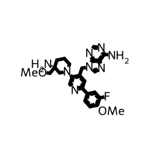 COC[C@@]1(N)CCCN(c2cnc(-c3ccc(OC)c(F)c3)cc2Cn2cnc3c(N)ncnc32)C1